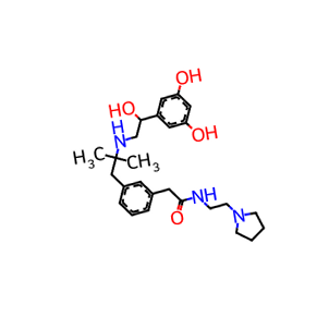 CC(C)(Cc1cccc(CC(=O)NCCN2CCCC2)c1)NCC(O)c1cc(O)cc(O)c1